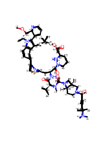 CCn1c(-c2cccnc2[C@H](C)OC)c2c3cc(ccc31)-c1csc(n1)C[C@H](NC(=O)[C@H](C(C)C)N(C)C(=O)N1C[C@@H]3CN(C(=O)C#CC(C)(C)N(C)C)CC[C@@H]31)C(=O)N1CCC[C@H](N1)C(=O)OCC(C)(C)C2